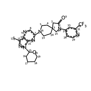 O=C1CC2(CCN(c3cnc4c(I)nn(C5CCCCO5)c4n3)CC2)CN1c1ccnc(C(F)(F)F)c1